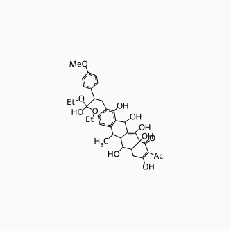 CCOC(O)(OCC)C(Cc1ccc2c(c1O)C(O)C1=C(O)C3(O)C(=O)C(C(C)=O)=C(O)CC3C(O)C1C2C)c1ccc(OC)cc1